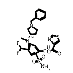 CN(c1cc(F)c(S(N)(=O)=O)cc1C(F)F)[C@H]1CCN(Cc2ccccc2)C1.O=C(O)c1cscn1